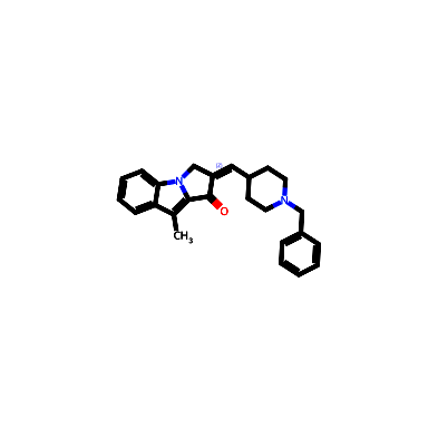 Cc1c2n(c3ccccc13)C/C(=C/C1CCN(Cc3ccccc3)CC1)C2=O